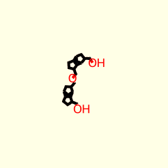 OCC1CC2CC1C1C(COCC3CC4CC3C3C(CO)CCC43)CCC21